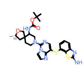 C[C@H]1CC2(CCN(c3ncc(Sc4cccc5nc(N)sc45)c4nccn34)CC2NC(=O)OC(C)(C)C)CO1